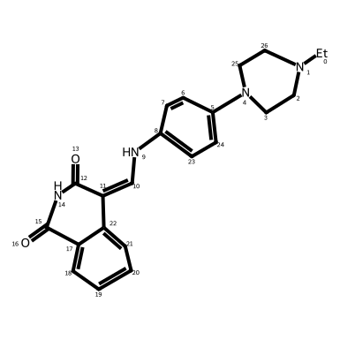 CCN1CCN(c2ccc(NC=C3C(=O)NC(=O)c4ccccc43)cc2)CC1